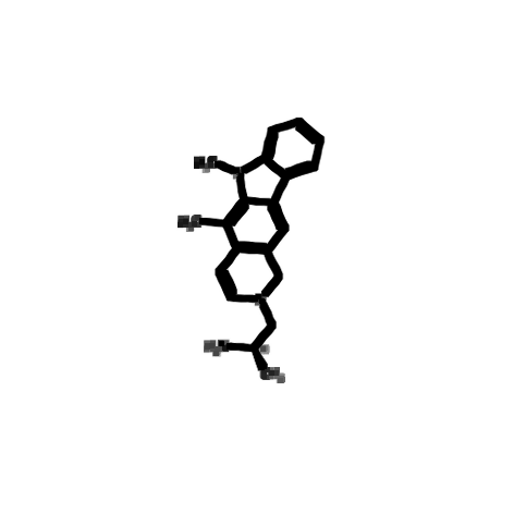 Cc1c2c(cc3c4ccccc4n(C)c13)CN(C[C@@H](C)N)C=C2